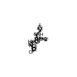 CN1CCN(CCNC(=O)c2cc3c(Nc4cnnc(-c5cc(Cl)ccc5F)c4)ccnc3n2COCC[Si](C)(C)C)CC1